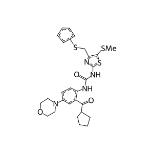 CSc1sc(NC(=O)Nc2ccc(N3CCOCC3)cc2C(=O)C2CCCC2)nc1CSc1ccccc1